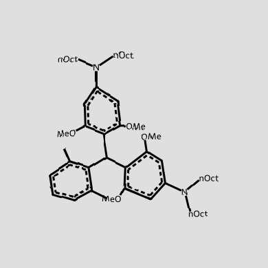 CCCCCCCCN(CCCCCCCC)c1cc(OC)c(C(c2c(C)cccc2C)c2c(OC)cc(N(CCCCCCCC)CCCCCCCC)cc2OC)c(OC)c1